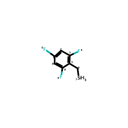 Fc1cc(F)c(C[SiH3])c(F)c1